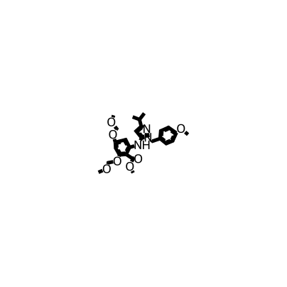 COCOc1cc(Nc2cc(C(C)C)nn2Cc2ccc(OC)cc2)c(C(=O)OC)c(OCOC)c1